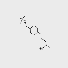 CCC(O)COCC1CCC(COC(C)(C)C)CC1